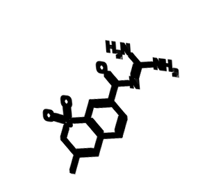 CC1=Cc2ccc(C(=O)N=C(N)N)cc2S(=O)(=O)C1